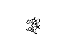 CCO[Si](C)(CCCN(CC(C)C(=O)O[Si](C)(C)C(C)(C)C)[Si](C)(C)C)OCC